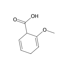 COC1=CCC=CC1C(=O)O